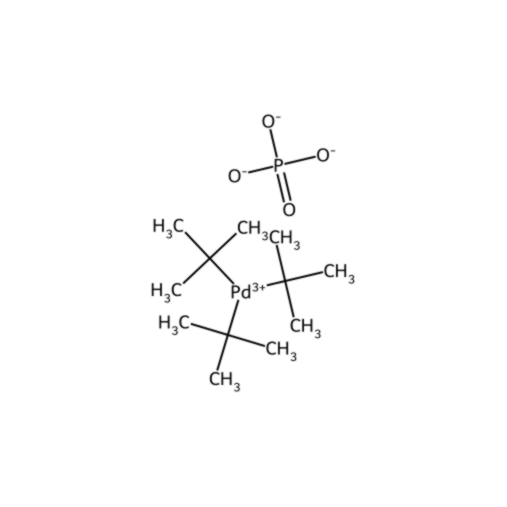 C[C](C)(C)[Pd+3]([C](C)(C)C)[C](C)(C)C.O=P([O-])([O-])[O-]